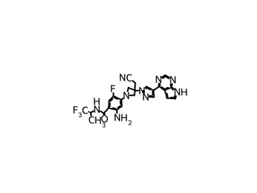 C[C@H](NC(=O)c1cc(F)c(N2CC(CC#N)(n3cc(-c4ncnc5[nH]ccc45)cn3)C2)cc1N)C(F)(F)F